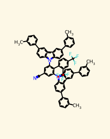 Cc1cccc(-c2ccc3c(c2)c2cc(-c4cccc(C)c4)ccc2n3-c2cc(C#N)cc(-n3c4ccc(-c5cccc(C)c5)cc4c4cc(-c5cccc(C)c5)ccc43)c2-c2ccc(C(F)(F)F)cc2C(F)(F)F)c1